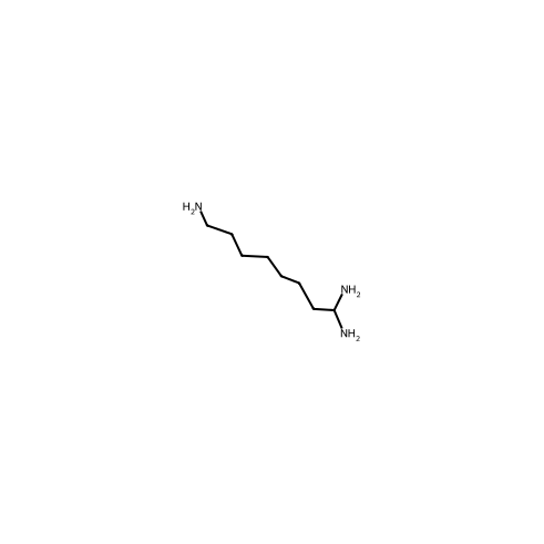 NCCCCCCCC(N)N